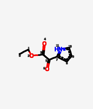 CCOC(=O)C(=O)c1ccc[nH]1